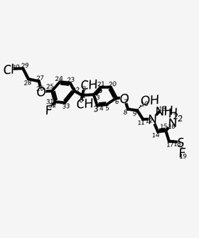 CC(C)(c1ccc(OC[C@H](O)CN(N)/C=C(\N)CSF)cc1)c1ccc(OCCCCl)c(F)c1